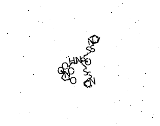 O=C(CCNP(=O)(CCSSc1ccccn1)CCSSc1ccccn1)ON1C(=O)CCC1=O